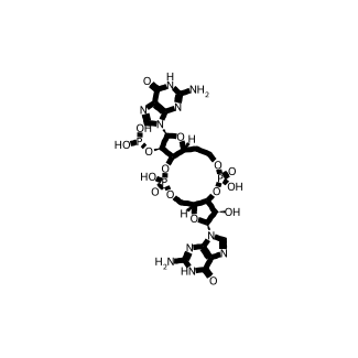 Nc1nc2c(ncn2[C@@H]2O[C@@H]3COP(=O)(O)OC4[C@@H](CCOP(=O)(O)OC3[C@@H]2O)O[C@@H](n2cnc3c(=O)[nH]c(N)nc32)[C@H]4OP(O)O)c(=O)[nH]1